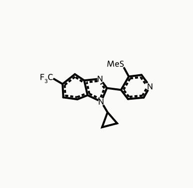 CSc1cnccc1-c1nc2cc(C(F)(F)F)ccc2n1C1CC1